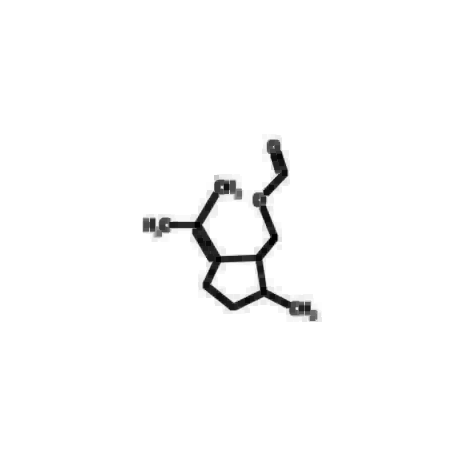 CC(C)=C1CCC(C)C1COC=O